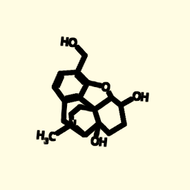 CN1CCC23c4c5ccc(CO)c4OC2C(O)CCC3(O)C1C5